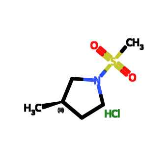 C[C@@H]1CCN(S(C)(=O)=O)C1.Cl